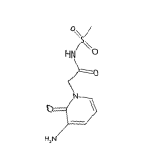 CS(=O)(=O)NC(=O)Cn1cccc(N)c1=O